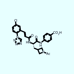 CC(=O)N1CC(C[C@H](NC(=O)C=Cc2cc(Cl)ccc2-n2cnnn2)C(=O)Nc2ccc(C(=O)O)cc2)C1